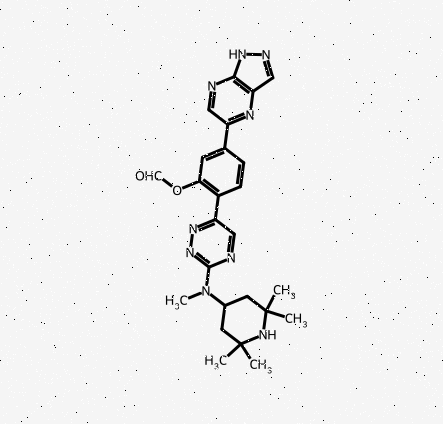 CN(c1ncc(-c2ccc(-c3cnc4[nH]ncc4n3)cc2OC=O)nn1)C1CC(C)(C)NC(C)(C)C1